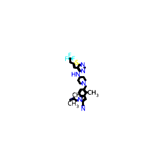 C/C=C(/C)Cn1c(C#N)cc2c(C)c(CN3CCC(Nc4ncnc5sc(CC(F)(F)F)cc45)CC3)ccc21